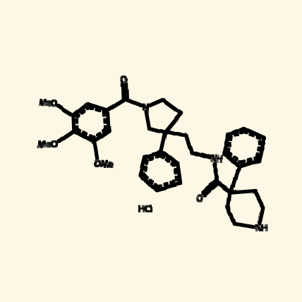 COc1cc(C(=O)N2CCC(CCNC(=O)C3(c4ccccc4)CCNCC3)(c3ccccc3)C2)cc(OC)c1OC.Cl